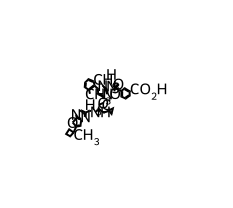 Cc1cccc(C)c1-c1cc(OC[C@@H](CC2(C)CC2)NCc2cnc3oc(C4(C)CCC4)cc3n2)nc(NS(=O)(=O)c2cccc(C(=O)O)c2)n1